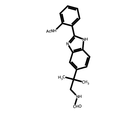 CC(=O)Nc1ccccc1-c1nc2cc(C(C)(C)CNC=O)ccc2[nH]1